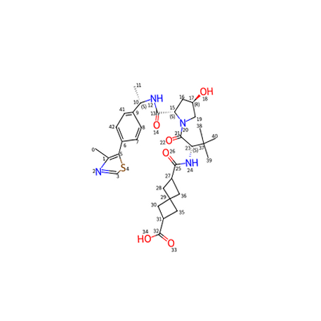 Cc1ncsc1-c1ccc([C@H](C)NC(=O)[C@@H]2C[C@@H](O)CN2C(=O)[C@@H](NC(=O)C2CC3(CC(C(=O)O)C3)C2)C(C)(C)C)cc1